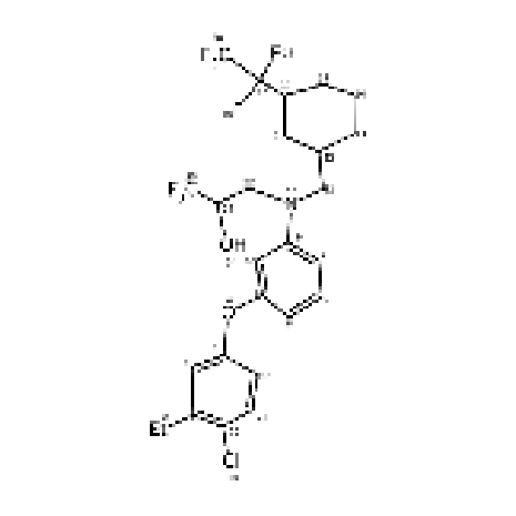 CCc1cc(Oc2cccc(N(CC3CCCC(C(F)(F)C(F)(F)F)C3)CC(O)C(F)(F)F)c2)ccc1Cl